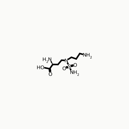 NCCCN(CC[C@H](N)C(=O)O)S(N)(=O)=O